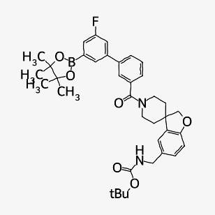 CC(C)(C)OC(=O)NCc1ccc2c(c1)C1(CCN(C(=O)c3cccc(-c4cc(F)cc(B5OC(C)(C)C(C)(C)O5)c4)c3)CC1)CO2